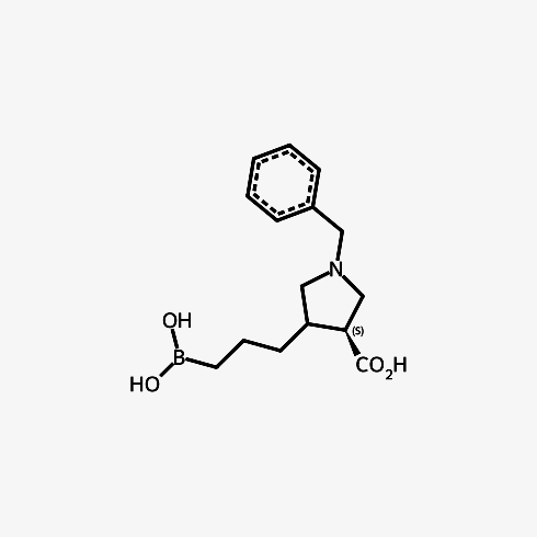 O=C(O)[C@@H]1CN(Cc2ccccc2)CC1CCCB(O)O